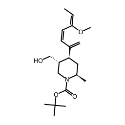 C=C(/C=C\C(=C/C)OC)[C@H]1C[C@@H](C)N(C(=O)OC(C)(C)C)C[C@@H]1CO